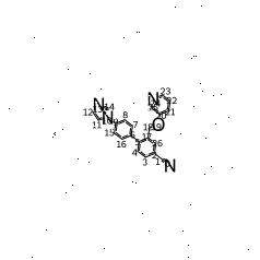 N#Cc1ccc(-c2ccc(-n3ccnc3)cc2)c(COc2cccnc2)c1